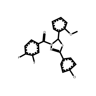 COc1ccccc1C1SC(c2ccc(Cl)cc2)=NN1C(=O)c1ccc(F)c(F)c1